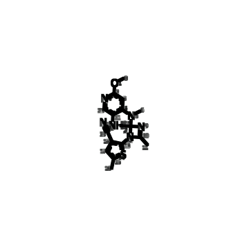 COc1cc(N(C)C2(C)N=C(C)N2c2sc(C)cc2C#N)c(N)cn1